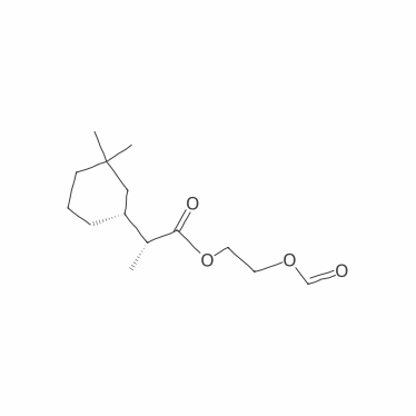 C[C@@H](C(=O)OCCOC=O)[C@@H]1CCCC(C)(C)C1